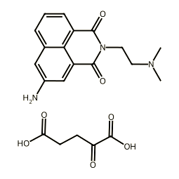 CN(C)CCN1C(=O)c2cccc3cc(N)cc(c23)C1=O.O=C(O)CCC(=O)C(=O)O